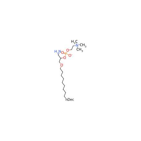 CCCCCCCCCCCCCCCCCCCOCC(CN)OP(=O)([O-])OCC[N+](C)(C)C